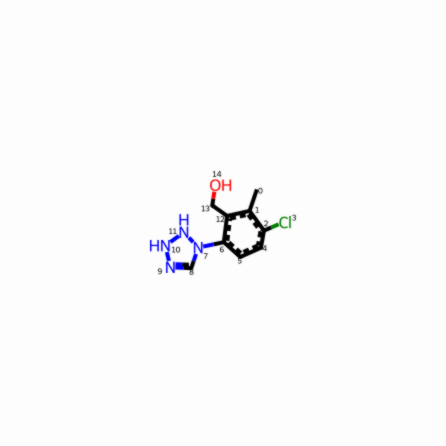 Cc1c(Cl)ccc(N2C=NNN2)c1CO